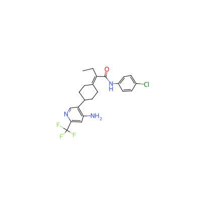 CCC(C(=O)Nc1ccc(Cl)cc1)=C1CCC(c2cnc(C(F)(F)F)cc2N)CC1